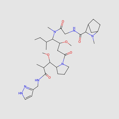 CCC(C)C(C(CC(=O)N1CCCC1C(OC)C(C)C(=O)NCc1cc[nH]n1)OC)N(C)C(=O)CNC(=O)C1C2CCC(C2)N1C